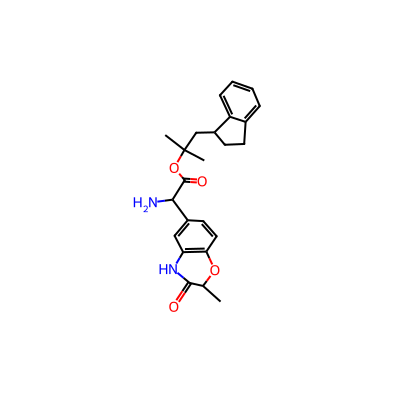 CC1Oc2ccc(C(N)C(=O)OC(C)(C)CC3CCc4ccccc43)cc2NC1=O